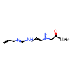 C=CC/N=C/NC/C=C/NCC(=O)NC